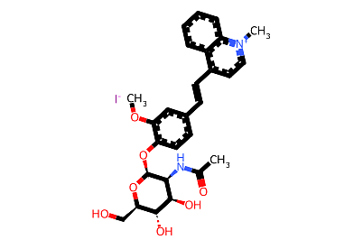 COc1cc(C=Cc2cc[n+](C)c3ccccc23)ccc1O[C@@H]1O[C@H](CO)[C@@H](O)[C@H](O)[C@@H]1NC(C)=O.[I-]